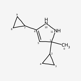 CC1(C2CC2)C=C(C2CC2)NN1